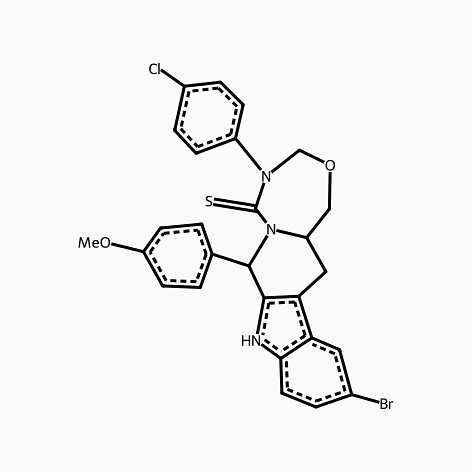 COc1ccc(C2c3[nH]c4ccc(Br)cc4c3CC3COCN(c4ccc(Cl)cc4)C(=S)N32)cc1